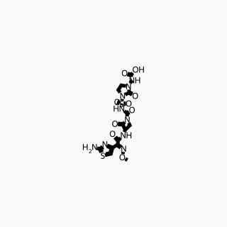 CON=C(C(=O)NC1CN(C(=O)NS(=O)(=O)N2CCN(NC(=O)O)C2=O)C1=O)c1csc(N)n1